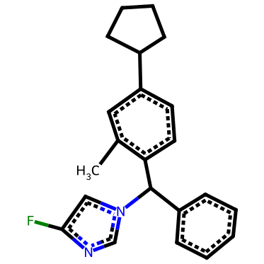 Cc1cc(C2CCCC2)ccc1C(c1ccccc1)n1cnc(F)c1